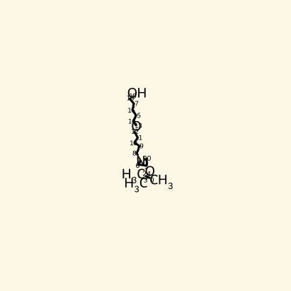 CC(C)(C)OC1CN(CCCCCOCCCCCO)C1